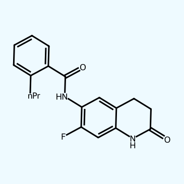 CCCc1ccccc1C(=O)Nc1cc2c(cc1F)NC(=O)CC2